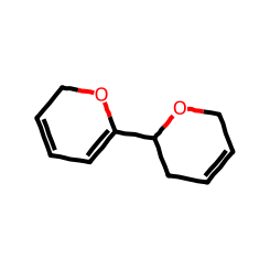 C1=CCOC(C2CC=CCO2)=C1